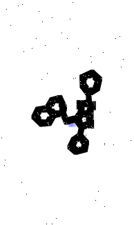 C(/c1cccc2ccccc12)=c1\c(-c2ccccc2)nn2nc(-c3ccccc3)nc12